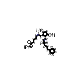 CC(C)OC(=O)CCC/C=C\C[C@@H]1[C@@H](/C=C/C(F)(F)CCCc2ccccc2)[C@H](O)C[C@@H]1O